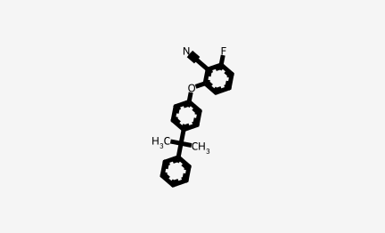 CC(C)(c1ccccc1)c1ccc(Oc2cccc(F)c2C#N)cc1